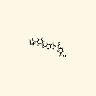 O=C(O)c1ccn(C(=O)N2CC3CC(Oc4cccc(-c5nccs5)c4)CC3C2)n1